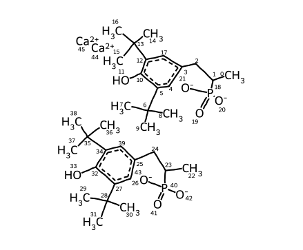 CC(Cc1cc(C(C)(C)C)c(O)c(C(C)(C)C)c1)P(=O)([O-])[O-].CC(Cc1cc(C(C)(C)C)c(O)c(C(C)(C)C)c1)P(=O)([O-])[O-].[Ca+2].[Ca+2]